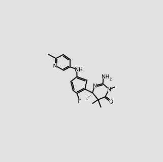 Cc1ccc(Nc2ccc(F)c([C@@]3(C)N=C(N)N(C)C(=O)C3(C)C)c2)cn1